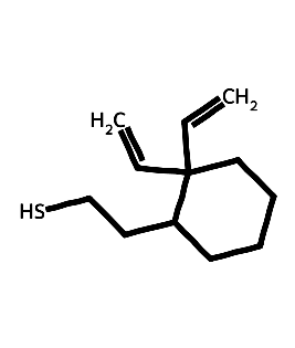 C=CC1(C=C)CCCCC1CCS